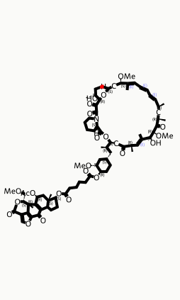 COC[C@H]1OC(=O)c2coc3c2[C@@]1(C)C1=C(C3=O)C2CC[C@H](OC(=O)CCCCC(=O)O[C@@H]3CC[C@@H](C[C@@H](C)[C@@H]4CC(=O)[C@H](C)/C=C(\C)[C@@H](O)[C@@H](OC)C(=O)[C@H](C)C[C@H](C)/C=C/C=C/C=C(\C)[C@@H](OC)C[C@@H]5CC[C@@H](C)[C@@](O)(O5)C(=O)C(=O)N5CCCC[C@H]5C(=O)O4)C[C@H]3OC)[C@@]2(C)C[C@H]1OC(C)=O